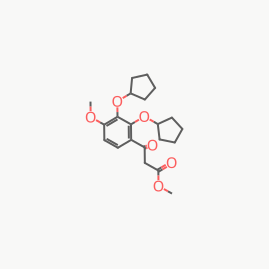 COC(=O)CC(=O)c1ccc(OC)c(OC2CCCC2)c1OC1CCCC1